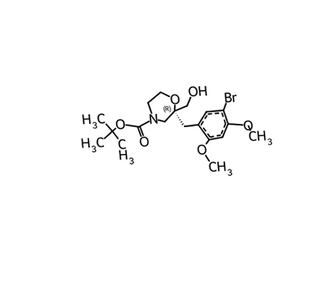 COc1cc(OC)c(C[C@]2(CO)CN(C(=O)OC(C)(C)C)CCO2)cc1Br